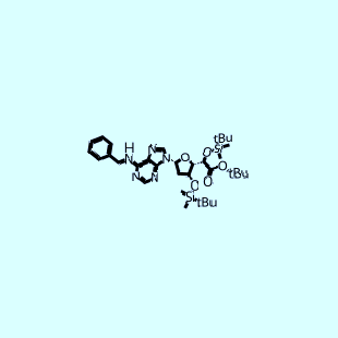 CC(C)(C)OC(=O)C(O[Si](C)(C)C(C)(C)C)[C@H]1O[C@@H](n2cnc3c(NCc4ccccc4)ncnc32)C[C@@H]1O[Si](C)(C)C(C)(C)C